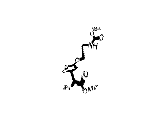 COC(=O)C(c1cc(OCCNC(=O)OC(C)(C)C)no1)C(C)C